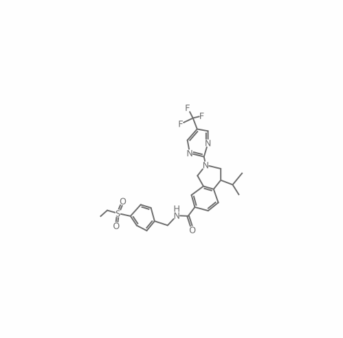 CCS(=O)(=O)c1ccc(CNC(=O)c2ccc3c(c2)CN(c2ncc(C(F)(F)F)cn2)CC3C(C)C)cc1